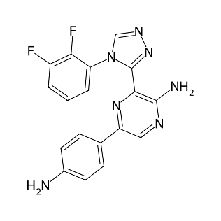 Nc1ccc(-c2cnc(N)c(-c3nncn3-c3cccc(F)c3F)n2)cc1